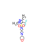 Cc1nn(C)c(S(=O)(=O)N2CC3(CN(C4CCOCC4)C3)C2)c1C(F)F